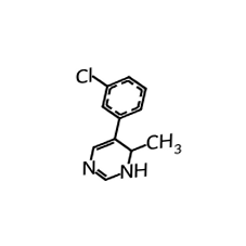 CC1NC=NC=C1c1cccc(Cl)c1